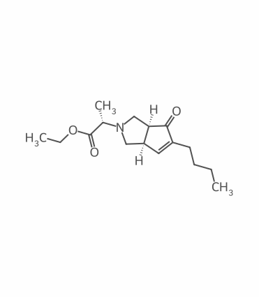 CCCCC1=C[C@H]2CN([C@@H](C)C(=O)OCC)C[C@H]2C1=O